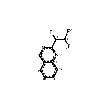 FC(F)C(F)c1ncc2ccccc2n1